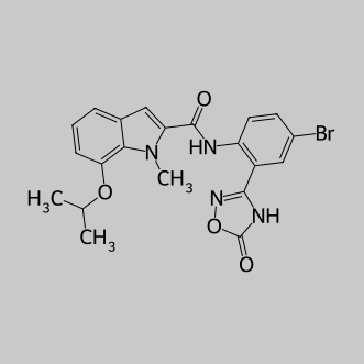 CC(C)Oc1cccc2cc(C(=O)Nc3ccc(Br)cc3-c3noc(=O)[nH]3)n(C)c12